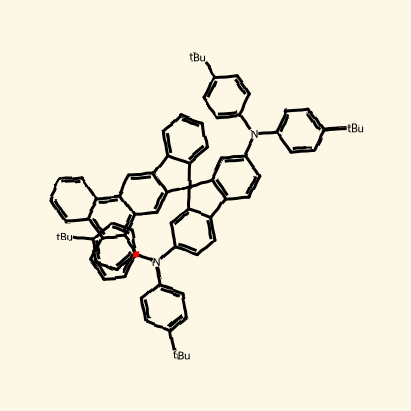 CC(C)(C)c1ccc(N(c2ccc(C(C)(C)C)cc2)c2ccc3c(c2)C2(c4ccccc4-c4cc5c6ccccc6c6ccccc6c5cc42)c2cc(N(c4ccc(C(C)(C)C)cc4)c4ccc(C(C)(C)C)cc4)ccc2-3)cc1